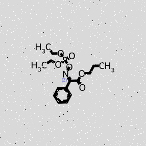 CCCOC(=O)/C(=N\OP(=O)(OCC)OCC)c1ccccc1